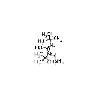 C/C(=N\C(C)(C)C)N(C[SiH3])C(C)(C)C